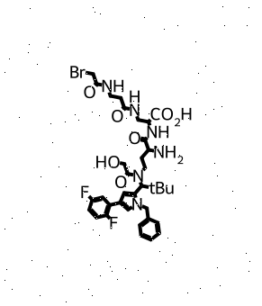 CC(C)(C)C(c1cc(-c2cc(F)ccc2F)cn1Cc1ccccc1)N(CCC(N)C(=O)NC(CNC(=O)CCNC(=O)CBr)C(=O)O)C(=O)CO